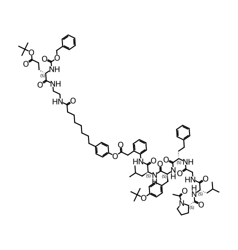 CC(=O)N1CCC[C@H]1C(=O)N[C@@H](CC(C)C)C(=O)NCC(=O)N[C@@H](CCc1ccccc1)C(=O)N[C@@H](Cc1ccc(OC(C)(C)C)cc1)C(=O)N[C@@H](CC(C)C)C(=O)Nc1ccccc1CC(=O)Oc1ccc(CCCCCCCC(=O)NCCNC(=O)[C@H](CCC(=O)OC(C)(C)C)NC(=O)OCc2ccccc2)cc1